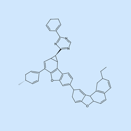 CCC1C=CC2=C(C1)C1C3=CC(c4ccc5c6c(oc5c4)C(C4=CC[C@@H](C)C=C4)=CC4C6[C@@H]4c4ncnc(C5=CCCC=C5)n4)CC=C3OC1C=C2